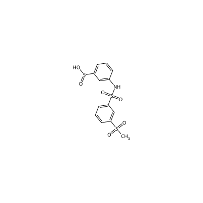 CS(=O)(=O)c1cccc(S(=O)(=O)Nc2cccc(S(=O)O)c2)c1